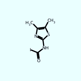 Cc1nc(NC(=O)I)sc1C